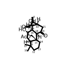 C=C1C(=O)[C@@]23[C@H](O)C[C@@H]4C(C)(C)CCC[C@@]4(COC(C)=O)[C@@H]2C(=O)C[C@@H]1[C@H]3O